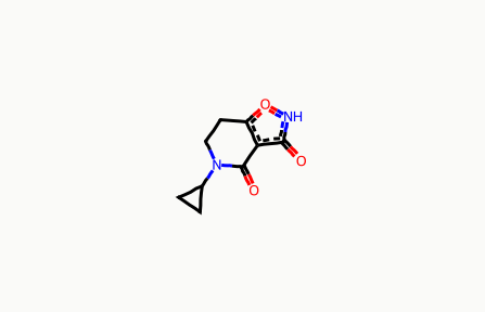 O=C1c2c(o[nH]c2=O)CCN1C1CC1